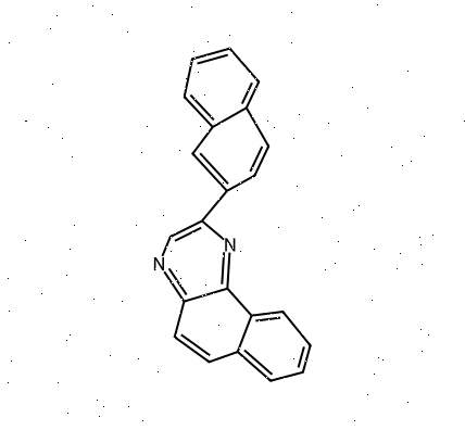 c1ccc2cc(-c3cnc4ccc5ccccc5c4n3)ccc2c1